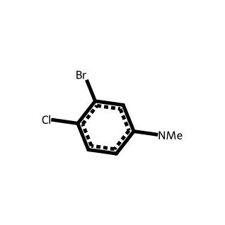 CNc1ccc(Cl)c(Br)c1